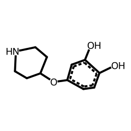 Oc1ccc(OC2CCNCC2)cc1O